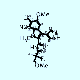 COCC(F)(F)c1nnc(-c2c(-c3cn[nH]c3)c3cc(OC)c(Cl)c(C#N)c3n2C)[nH]1